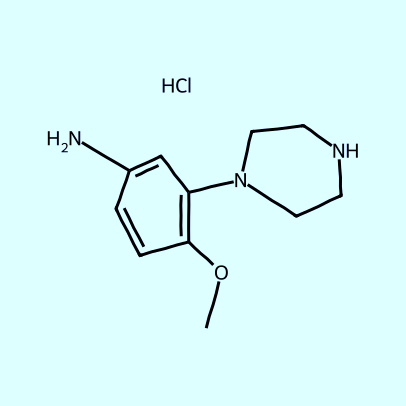 COc1ccc(N)cc1N1CCNCC1.Cl